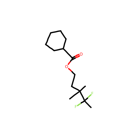 CC(F)(F)C(C)(C)CCOC(=O)C1CCCCC1